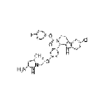 CC1=CC(N)NN1CCOc1ccc(C2c3[nH]c4ccc(Cl)cc4c3CCN2C(=O)Oc2ccc(F)cc2)cc1